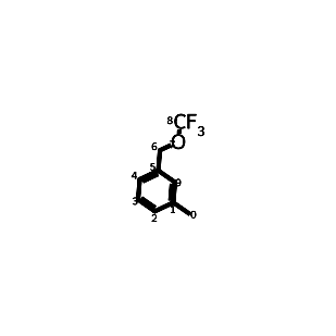 Cc1cccc(COC(F)(F)F)c1